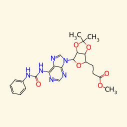 COC(=O)CCC1OC(n2cnc3c(NC(=O)Nc4ccccc4)ncnc32)C2OC(C)(C)OC12